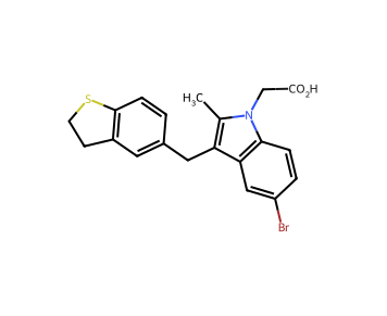 Cc1c(Cc2ccc3c(c2)CCS3)c2cc(Br)ccc2n1CC(=O)O